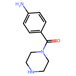 Nc1ccc(C(=O)N2CCNCC2)cc1